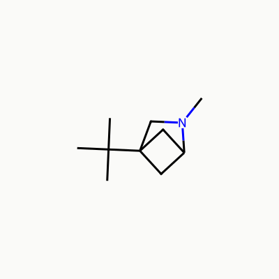 CN1CC2(C(C)(C)C)CC1C2